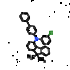 CC1(C)c2ccccc2-c2c(N(c3ccc(-c4ccccc4)cc3)c3cccc(Cl)c3)cccc21